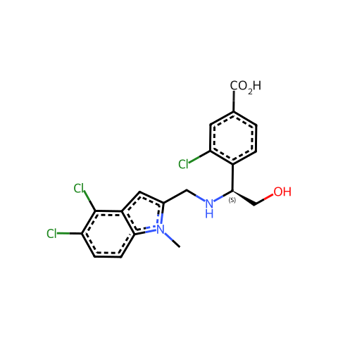 Cn1c(CN[C@H](CO)c2ccc(C(=O)O)cc2Cl)cc2c(Cl)c(Cl)ccc21